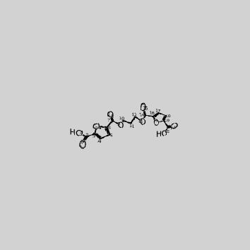 O=C(O)c1ccc(C(=O)OCCCOC(=O)c2ccc(C(=O)O)o2)o1